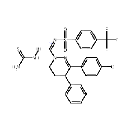 NC(=S)NN/C(=N/S(=O)(=O)c1ccc(C(F)(F)F)cc1)N1CCC(c2ccccc2)C(c2ccc(Cl)cc2)=N1